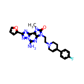 Cn1c(=O)n(CCN2CC=C(c3ccc(F)cc3)CC2)c2nc(N)n3nc(-c4ccco4)nc3c21